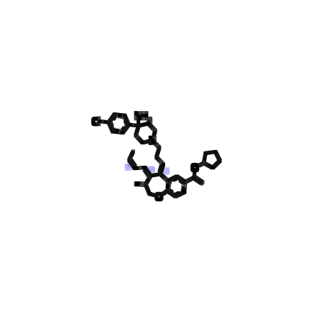 C=C1COc2ccc(C(=C)OC3CCCC3)cc2C(=C/CCN2CCC(N)(c3ccc(Cl)cc3)CC2)/C1=C/C=C\C